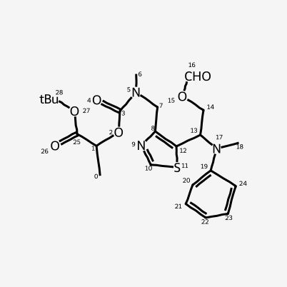 CC(OC(=O)N(C)Cc1ncsc1C(COC=O)N(C)c1ccccc1)C(=O)OC(C)(C)C